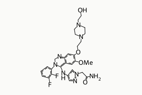 COc1cc2c(cc1OCCN1CCN(CCO)CC1)=NCN(c1cccc(F)c1F)C=2Nc1cnn(CC(N)=O)c1